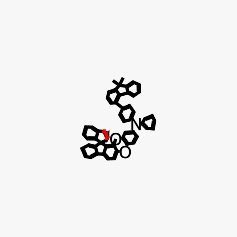 CC1(C)c2ccccc2-c2c(-c3ccc(N(c4ccccc4)c4ccc5c(c4)Oc4c(ccc6c4C4(c7ccccc7-c7ccccc74)c4ccccc4-6)O5)cc3)cccc21